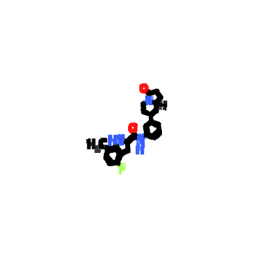 Cc1ccc(F)c2c1NC(C(=O)Nc1cccc([C@H]3CCN4C(=O)CC[C@@H]4C3)c1)C2